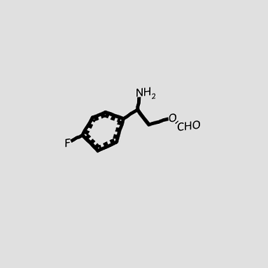 NC(COC=O)c1ccc(F)cc1